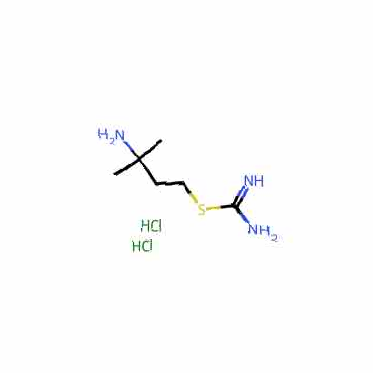 CC(C)(N)CCSC(=N)N.Cl.Cl